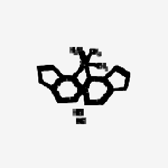 Cl.Cl.[CH3][Zr]([CH3])(=[SiH2])([c]1cccc2c1C=CC2)[c]1cccc2c1C=CC2